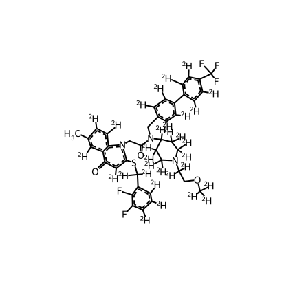 [2H]c1c([2H])c(F)c(F)c(C([2H])([2H])Sc2c([2H])c(=O)c3c([2H])c(C)c([2H])c([2H])c3n2CC(=O)N(Cc2c([2H])c([2H])c(-c3c([2H])c([2H])c(C(F)(F)F)c([2H])c3[2H])c([2H])c2[2H])C2([2H])C([2H])([2H])C([2H])([2H])N(C([2H])([2H])COC([2H])([2H])[2H])C([2H])([2H])C2([2H])[2H])c1[2H]